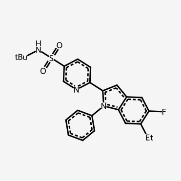 CCc1cc2c(cc1F)cc(-c1ccc(S(=O)(=O)NC(C)(C)C)cn1)n2-c1ccccc1